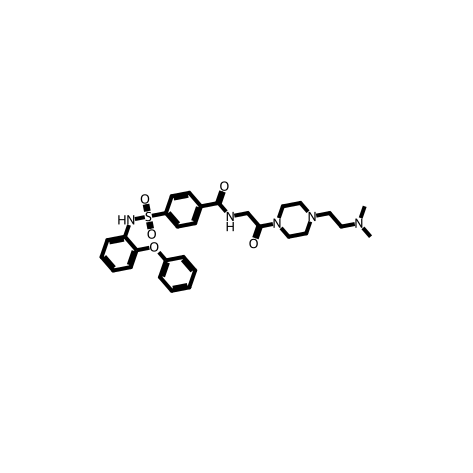 CN(C)CCN1CCN(C(=O)CNC(=O)c2ccc(S(=O)(=O)Nc3ccccc3Oc3ccccc3)cc2)CC1